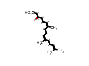 CC(C)=CCCC(C)=CCCC(C)=CCCC(=O)CC(=O)O